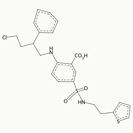 O=C(O)c1cc(S(=O)(=O)NCCc2cccs2)ccc1NCC(CCCl)c1ccccc1